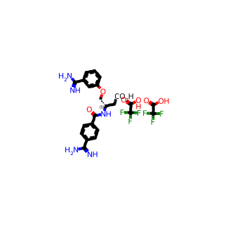 N=C(N)c1ccc(C(=O)N[C@H](COc2cccc(C(=N)N)c2)CC(=O)O)cc1.O=C(O)C(F)(F)F.O=C(O)C(F)(F)F